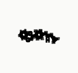 c1ccc2c(c1)OCC(c1ccc(CNCC3CC3)cc1)O2